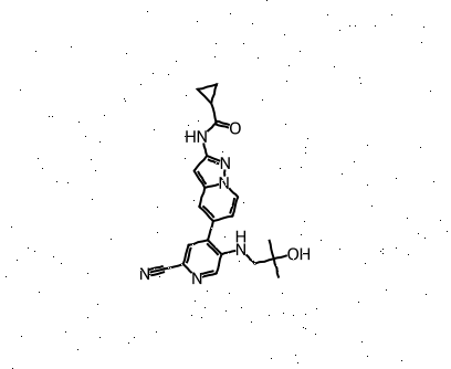 CC(C)(O)CNc1cnc(C#N)cc1-c1ccn2nc(NC(=O)C3CC3)cc2c1